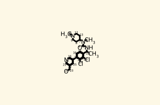 CC(NC(=O)N(C)C1CCN(C)CC1)c1ccc(-c2cncc(C=O)c2)c(Cl)c1Cl